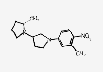 Cc1cc(N2CCC(N3CCC[C@@H]3C)C2)ccc1[N+](=O)[O-]